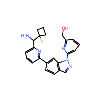 NC(c1cccc(-c2ccc3cnn(-c4cccc(CO)n4)c3c2)n1)C1(F)CCC1